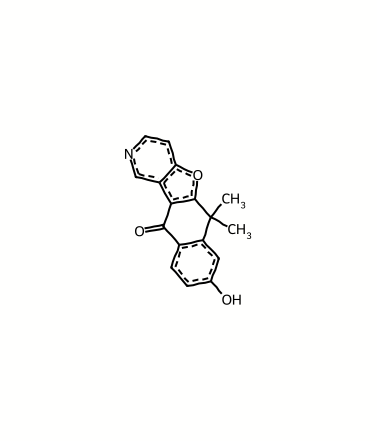 CC1(C)c2cc(O)ccc2C(=O)c2c1oc1ccncc21